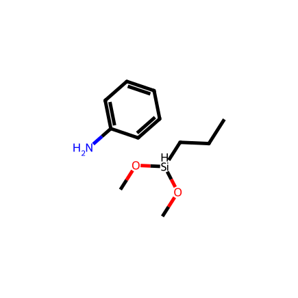 CCC[SiH](OC)OC.Nc1ccccc1